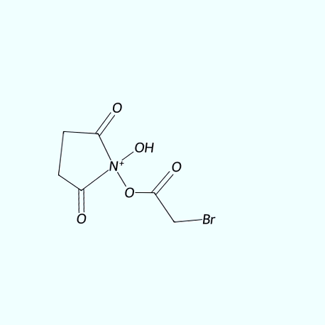 O=C(CBr)O[N+]1(O)C(=O)CCC1=O